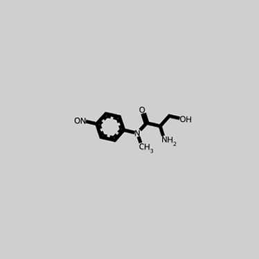 CN(C(=O)C(N)CO)c1ccc(N=O)cc1